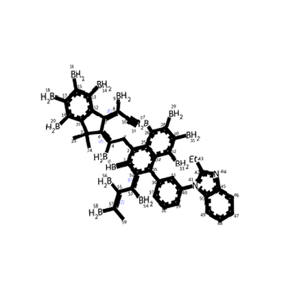 B=c1c(C/C(B)=C2\C(=C(\B)C#C)c3c(B)c(B)c(B)c(B)c3C2(C)C)c2c(B)c(B)c(B)c(B)c2c(-c2cccc(-n3c(CC)nc4ccccc43)c2)/c1=C(B)/C(B)=C(/B)C